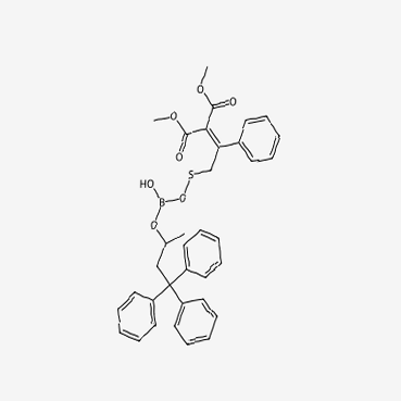 COC(=O)C(C(=O)OC)=C(CSOB(O)OC(C)CC(c1ccccc1)(c1ccccc1)c1ccccc1)c1ccccc1